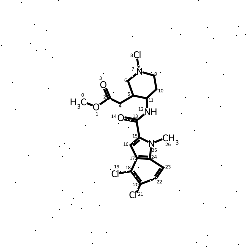 COC(=O)CC1CN(Cl)CCC1NC(=O)c1cc2c(Cl)c(Cl)ccc2n1C